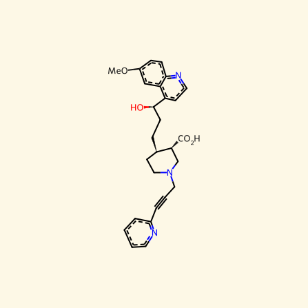 COc1ccc2nccc([C@H](O)CC[C@@H]3CCN(CC#Cc4ccccn4)C[C@@H]3C(=O)O)c2c1